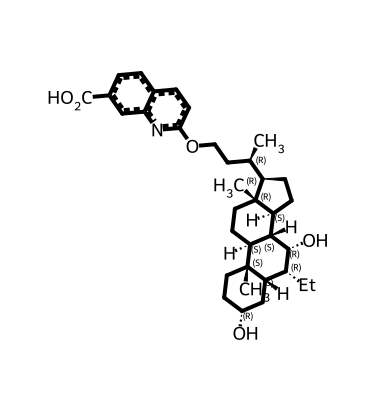 CC[C@H]1[C@@H](O)[C@@H]2[C@H](CC[C@]3(C)[C@@H]([C@H](C)CCOc4ccc5ccc(C(=O)O)cc5n4)CC[C@@H]23)[C@@]2(C)CC[C@@H](O)C[C@@H]12